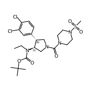 CCN(C(=O)OC(C)(C)C)[C@@H]1CN(C(=O)N2CCN(S(C)(=O)=O)CC2)C[C@H]1c1ccc(Cl)c(Cl)c1